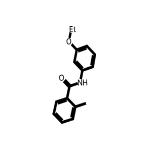 CCOc1cccc(NC(=O)c2ccccc2C)c1